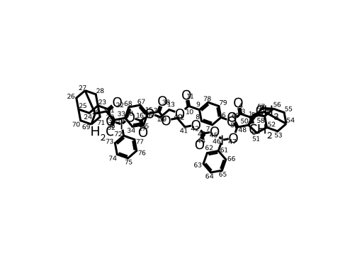 C=C(C)C(=O)Oc1ccc(C(=O)OCCOC(=O)OI(OC(=O)C23CC4CC(C2)C(CC(=C)c2ccc(C(=O)OCCOC(=O)OI(OC(=O)C56CC7CC8CC(C5)C7C6C8)c5ccccc5)cc2)C(C4)C3)c2ccccc2)cc1